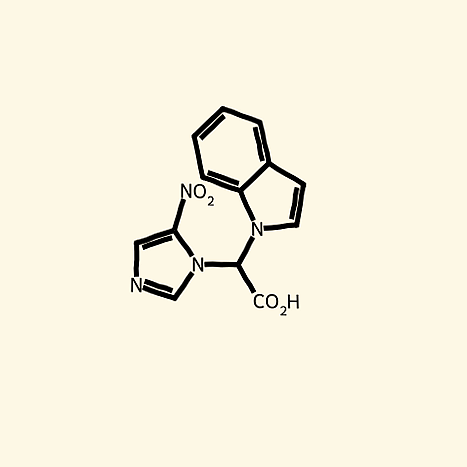 O=C(O)C(n1cncc1[N+](=O)[O-])n1ccc2ccccc21